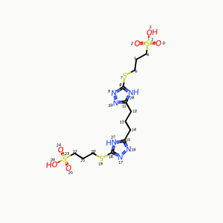 O=S(=O)(O)CCCSc1nnc(CCCc2nnc(SCCCS(=O)(=O)O)[nH]2)[nH]1